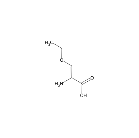 CCO/C=C(\N)C(=O)O